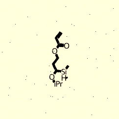 C=CC(=O)OCCC(OC(C)C)[SiH](C)C